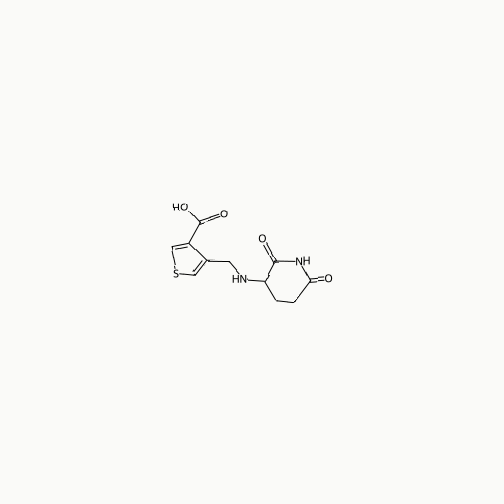 O=C1CCC(NCc2cscc2C(=O)O)C(=O)N1